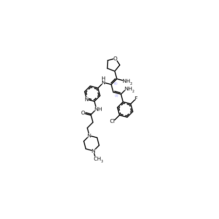 CN1CCN(CCC(=O)Nc2cc(NC(/C=C(\N)c3cc(Cl)ccc3F)=C(/N)C3CCOC3)ccn2)CC1